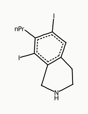 CCCc1c(I)cc2c(c1I)CNCC2